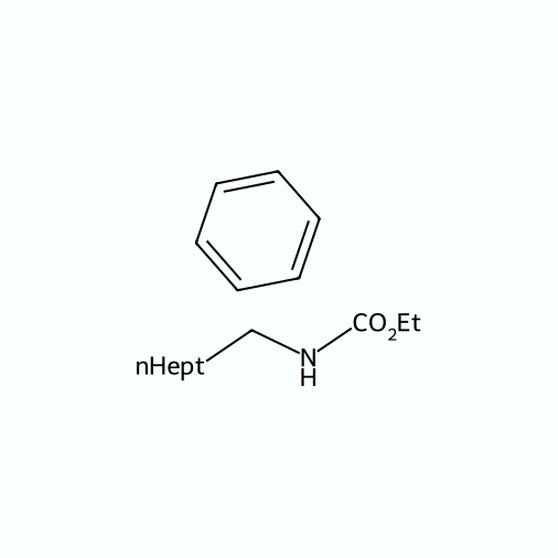 CCCCCCCCNC(=O)OCC.c1ccccc1